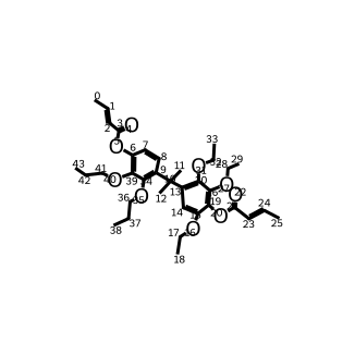 CC=CC(=O)Oc1ccc(C(C)(C)c2cc(OCC)c(OC(=O)C=CC)c(OCC)c2OCC)c(OCCC)c1OCCC